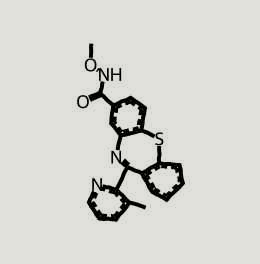 CONC(=O)c1ccc2c(c1)N=C(c1ncccc1C)c1ccccc1S2